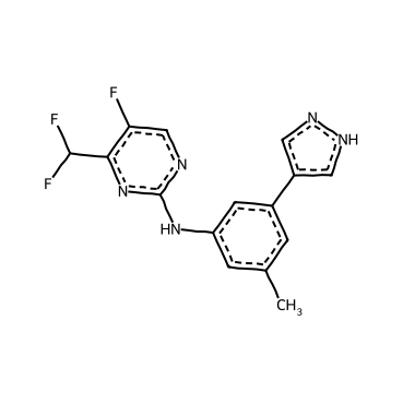 Cc1cc(Nc2ncc(F)c(C(F)F)n2)cc(-c2cn[nH]c2)c1